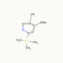 COc1cc(S(C)(C)C)ncc1C#N